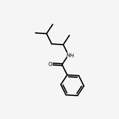 CC(C)CC(C)NC(=O)c1ccccc1